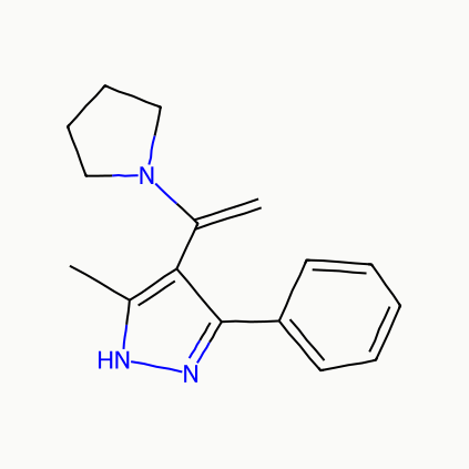 C=C(c1c(-c2ccccc2)n[nH]c1C)N1CCCC1